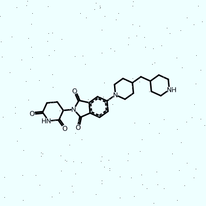 O=C1CCC(N2C(=O)c3ccc(N4CCC(CC5CCNCC5)CC4)cc3C2=O)C(=O)N1